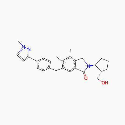 Cc1c(Cc2ccc(-c3ccn(C)n3)cc2)cc2c(c1C)CN([C@H]1CCC[C@@H]1CO)C2=O